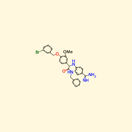 COc1cc(C(Nc2ccc(C(=N)N)cc2)C(=O)NCc2ccccc2)ccc1OCc1cccc(Br)c1